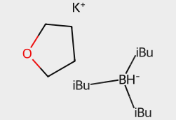 C1CCOC1.CCC(C)[BH-](C(C)CC)C(C)CC.[K+]